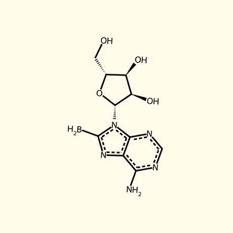 Bc1nc2c(N)ncnc2n1[C@@H]1O[C@H](CO)[C@@H](O)[C@H]1O